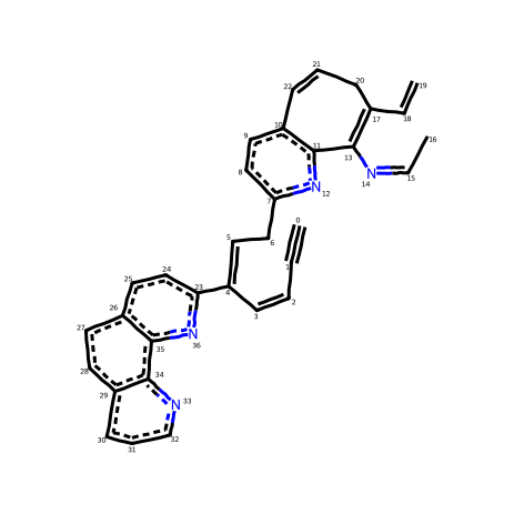 C#C/C=C\C(=C/Cc1ccc2c(n1)C(/N=C\C)=C(C=C)CC=C2)c1ccc2ccc3cccnc3c2n1